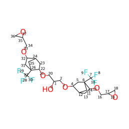 OC(COC1CC2(C(F)(F)F)CC1CC2OCC1CO1)COC1CC2CC1(C(F)(F)F)CC2OCC1CO1